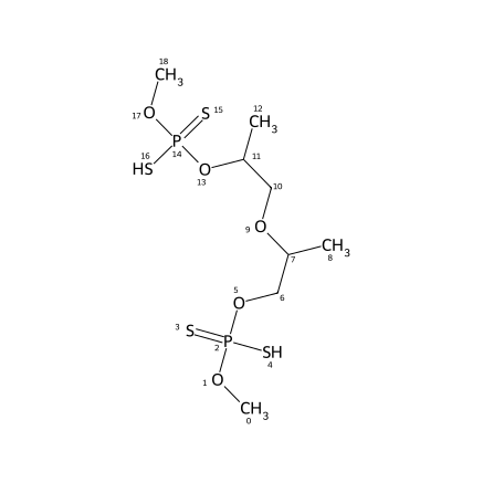 COP(=S)(S)OCC(C)OCC(C)OP(=S)(S)OC